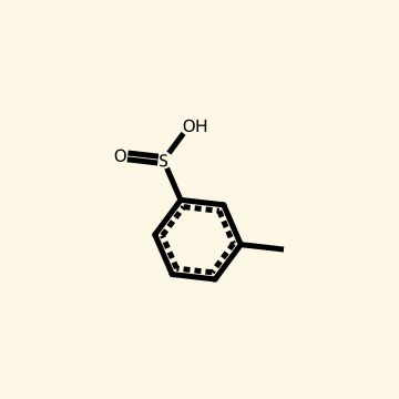 Cc1cccc(S(=O)O)c1